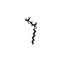 CCCCCCCCOC(C)CCOC(C)C